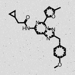 COc1ccc(Cc2nc3cc(NC(=O)CC4CC4)nc(-c4ccc(C)o4)n3n2)cc1